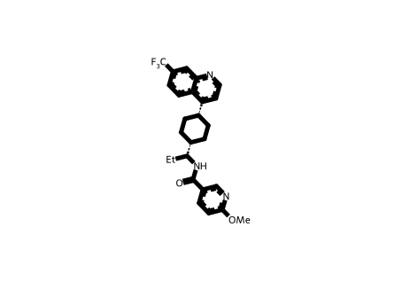 CCC(NC(=O)c1ccc(OC)nc1)[C@H]1CC[C@@H](c2ccnc3cc(C(F)(F)F)ccc32)CC1